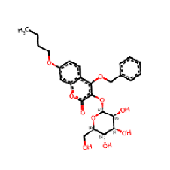 CCCCOc1ccc2c(OCc3ccccc3)c(O[C@@H]3O[C@H](CO)[C@@H](O)[C@H](O)[C@@H]3O)c(=O)oc2c1